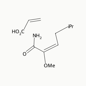 C=CC(=O)O.COC(=CCC(C)C)C(N)=O